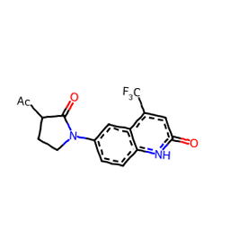 CC(=O)C1CCN(c2ccc3[nH]c(=O)cc(C(F)(F)F)c3c2)C1=O